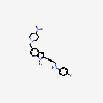 CCn1c(C#CCNc2ccc(Cl)cc2)cc2cc(CN3CCC(N(C)C)CC3)ccc21